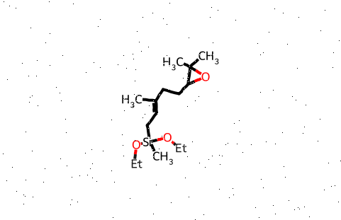 CCO[Si](C)(CC=C(C)CCC1OC1(C)C)OCC